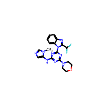 Cn1cncc1Nc1nc(N2CCOCC2)nc(-n2c(C(F)F)nc3ccccc32)n1